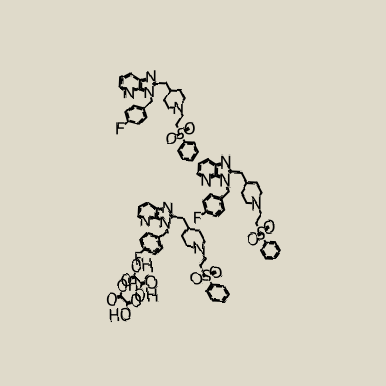 O=C(O)C(=O)O.O=C(O)C(=O)O.O=S(=O)(CCN1CCC(Cc2nc3cccnc3n2Cc2ccc(F)cc2)CC1)c1ccccc1.O=S(=O)(CCN1CCC(Cc2nc3cccnc3n2Cc2ccc(F)cc2)CC1)c1ccccc1.O=S(=O)(CCN1CCC(Cc2nc3cccnc3n2Cc2ccc(F)cc2)CC1)c1ccccc1